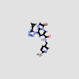 Cc1ccc(CNC(=O)c2cc(-n3nnnc3C3CC3)c3ncc(Br)n3c2)cn1